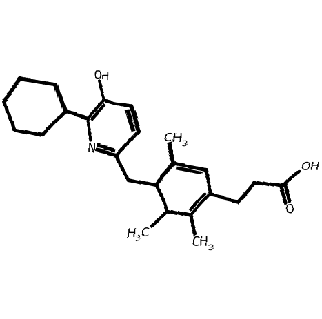 CC1=CC(CCC(=O)O)=C(C)C(C)C1Cc1ccc(O)c(C2CCCCC2)n1